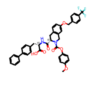 COc1ccc(OC(=O)N2Cc3cc(OCc4ccc(C(F)(F)F)cc4)ccc3C[C@H]2C(=O)N[C@@H](Cc2ccc(-c3ccccc3)cc2)C(=O)O)cc1